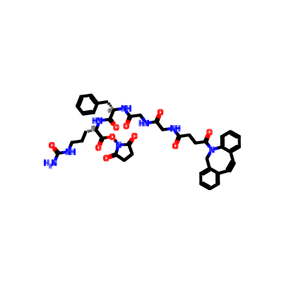 NC(=O)NCCC[C@H](NC(=O)[C@H](Cc1ccccc1)NC(=O)CNC(=O)CNC(=O)CCC(=O)N1Cc2ccccc2C#Cc2ccccc21)C(=O)ON1C(=O)CCC1=O